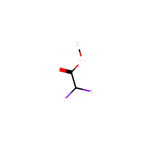 CC(=O)OC(=O)C(I)I